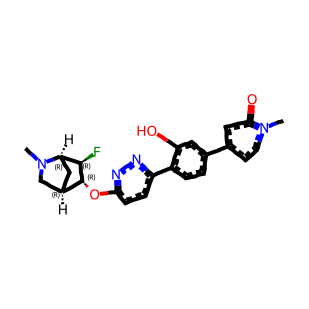 CN1C[C@H]2C[C@@H]1[C@@H](F)[C@@H]2Oc1ccc(-c2ccc(-c3ccn(C)c(=O)c3)cc2O)nn1